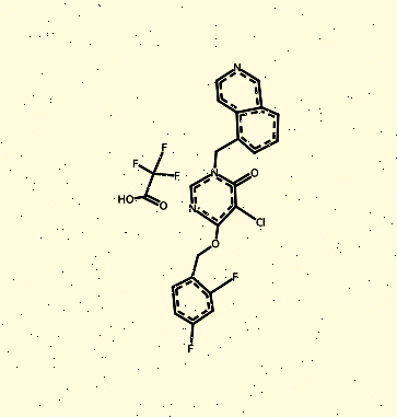 O=C(O)C(F)(F)F.O=c1c(Cl)c(OCc2ccc(F)cc2F)ncn1Cc1cccc2cnccc12